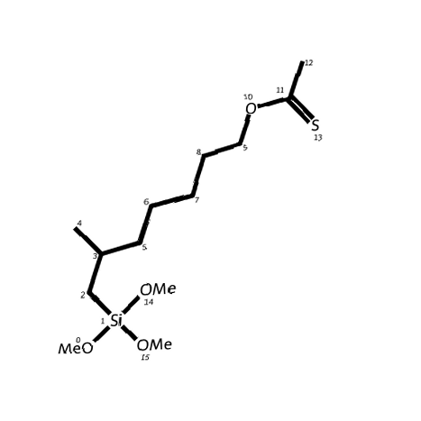 CO[Si](CC(C)CCCCCOC(C)=S)(OC)OC